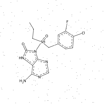 CCC[SH](=O)(Cc1ccc(Cl)c(F)c1)n1c(=O)[nH]c2c(N)ncnc21